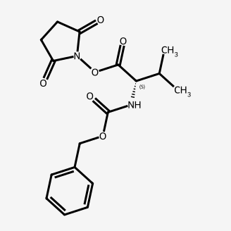 CC(C)[C@H](NC(=O)OCc1ccccc1)C(=O)ON1C(=O)CCC1=O